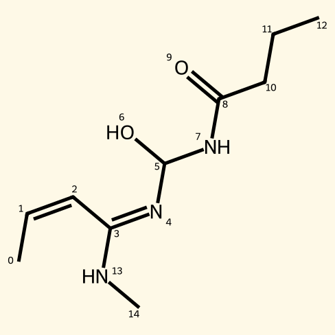 C/C=C\C(=N/C(O)NC(=O)CCC)NC